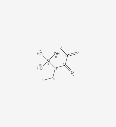 C=C(C)C(=O)C(CC)[Si](O)(O)O